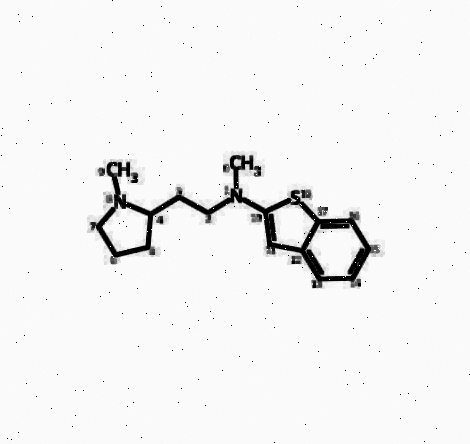 CN(CCC1CCCN1C)c1cc2ccccc2s1